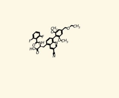 CCOCc1cc(OC)c(-c2ccc(C[C@H](NC(=O)c3c(F)cccc3F)C(=O)O)c3cc(C#N)cnc23)c(OC)c1